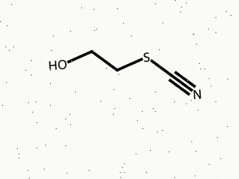 N#CSCCO